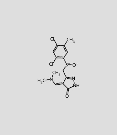 Cc1cc([S+]([O-])CC2=NNC(=O)C2=CN(C)C)c(Cl)cc1Cl